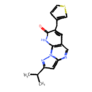 CC(C)c1cc2ncc3cc(-c4ccsc4)c(=O)[nH]c3n2n1